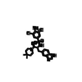 CC1(C)CCN(C(=O)C(Cc2ccc3[nH]cnc3c2)NS(=O)(=O)c2cc(Cl)c(N)c(Cl)c2)CC1